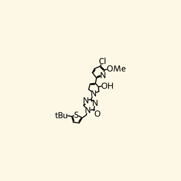 COc1nc(C2=CCN(c3ncn(Cc4ccc(C(C)(C)C)s4)c(=O)n3)CC2O)ccc1Cl